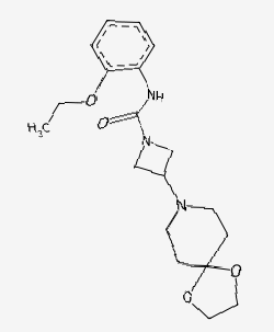 CCOc1ccccc1NC(=O)N1CC(N2CCC3(CC2)OCCO3)C1